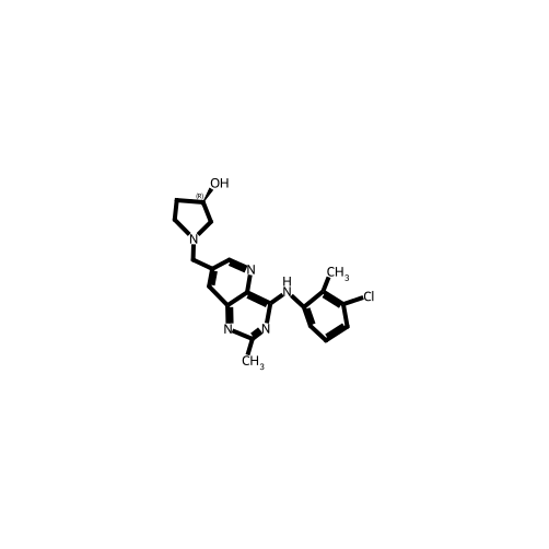 Cc1nc(Nc2cccc(Cl)c2C)c2ncc(CN3CC[C@@H](O)C3)cc2n1